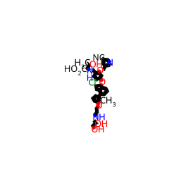 Cc1c(OCCCNC[C@@H](O)CO)cccc1-c1cccc2c1CC[C@@H]2Oc1cc(OCc2cncc(C#N)c2)c(CN[C@H](C(=O)O)[C@@H](C)O)cc1Cl